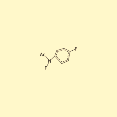 CC(=O)N(F)c1ccc(F)cc1